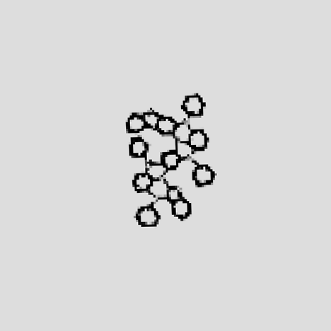 c1ccc(N2c3cc4c(cc3B3c5cc6c(cc5N(c5ccccc5)c5cccc2c53)sc2ccccc26)N(c2ccccc2)c2cccc3c2B4c2sc4ccccc4c2N3c2ccccc2)cc1